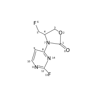 O=C1OCC(CF)N1c1ccnc(F)n1